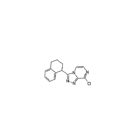 Clc1nccn2c(C3CCCc4ccccc43)nnc12